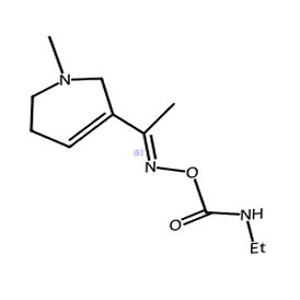 CCNC(=O)O/N=C(\C)C1=CCCN(C)C1